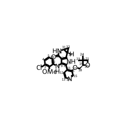 COc1c(Cl)cccc1Nc1c(-c2ccncc2OC[C@@H]2OCC2(C)C)[nH]c2c1C(=O)NC1C[C@H]21